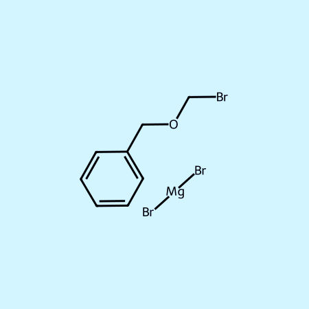 BrCOCc1ccccc1.[Br][Mg][Br]